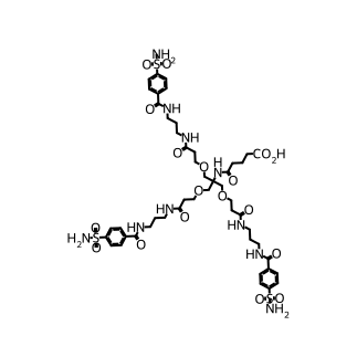 NS(=O)(=O)c1ccc(C(=O)NCCCNC(=O)CCOCC(COCCC(=O)NCCCNC(=O)c2ccc(S(N)(=O)=O)cc2)(COCCC(=O)NCCCNC(=O)c2ccc(S(N)(=O)=O)cc2)NC(=O)CCCC(=O)O)cc1